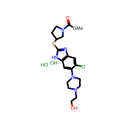 COC(=O)N1CCC(Sc2nc3cc(Cl)c(N4CCN(CCO)CC4)cc3[nH]2)C1.Cl.Cl